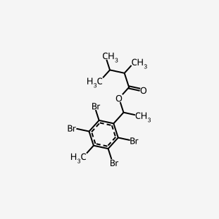 Cc1c(Br)c(Br)c(C(C)OC(=O)C(C)C(C)C)c(Br)c1Br